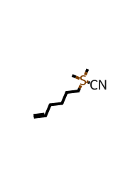 C=CCCCCS(C)(C)C#N